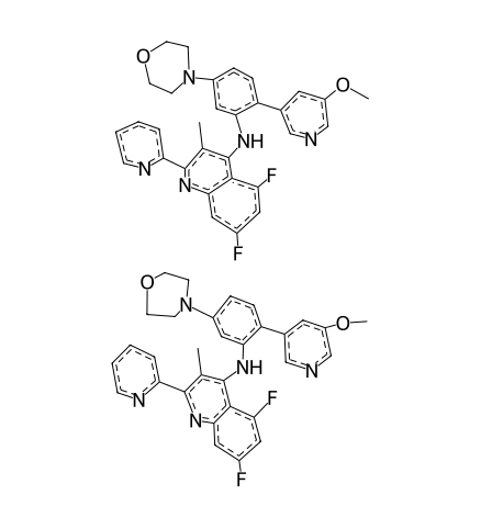 COc1cncc(-c2ccc(N3CCOCC3)cc2Nc2c(C)c(-c3ccccn3)nc3cc(F)cc(F)c23)c1.COc1cncc(-c2ccc(N3CCOCC3)cc2Nc2c(C)c(-c3ccccn3)nc3cc(F)cc(F)c23)c1